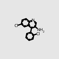 Nc1cnc2ccc(Cl)cc2c1-c1ccccc1Cl